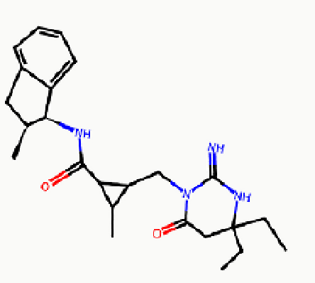 CCC1(CC)CC(=O)N(CC2C(C)C2C(=O)N[C@@H]2c3ccccc3C[C@@H]2C)C(=N)N1